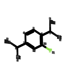 CCC(C)C(CC)c1ccc(C(CC)C(C)CC)c(F)c1